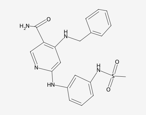 CS(=O)(=O)Nc1cccc(Nc2cc(NCc3ccccc3)c(C(N)=O)cn2)c1